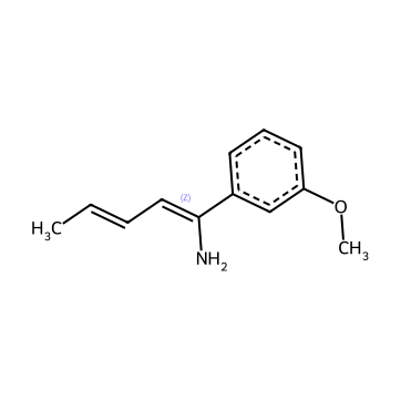 CC=C/C=C(\N)c1cccc(OC)c1